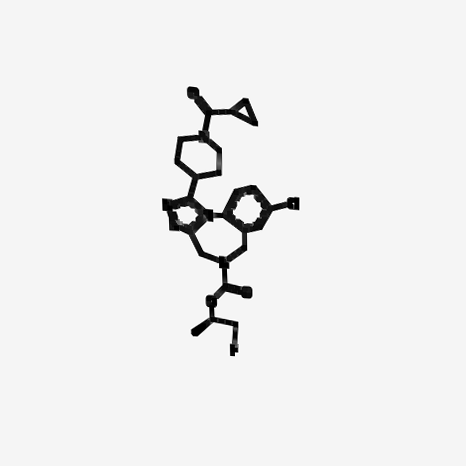 C[C@H](CF)OC(=O)N1Cc2cc(Cl)ccc2-n2c(nnc2C2CCN(C(=O)C3CC3)CC2)C1